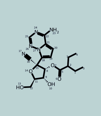 CCC(CC)C(=O)O[C@@H]1[C@H](O)[C@@H](CO)O[C@@]1(C#N)c1ccc2c(N)ncnn12